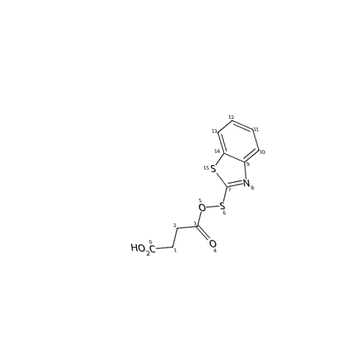 O=C(O)CCC(=O)OSc1nc2ccccc2s1